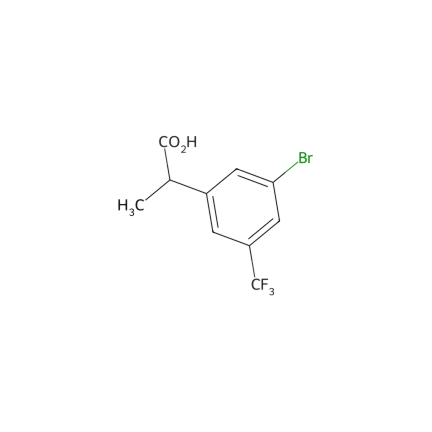 CC(C(=O)O)c1cc(Br)cc(C(F)(F)F)c1